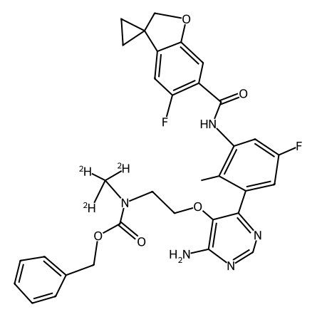 [2H]C([2H])([2H])N(CCOc1c(N)ncnc1-c1cc(F)cc(NC(=O)c2cc3c(cc2F)C2(CC2)CO3)c1C)C(=O)OCc1ccccc1